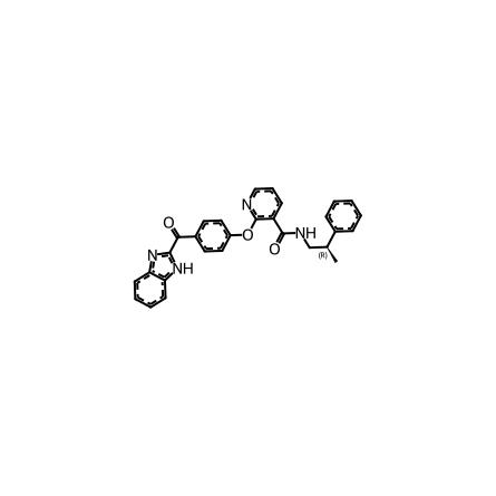 C[C@@H](CNC(=O)c1cccnc1Oc1ccc(C(=O)c2nc3ccccc3[nH]2)cc1)c1ccccc1